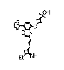 CCC1CC(C/C=C/C2=Nc3c(OC4CC(C(C)(C)O)C4)ccc(-c4nccs4)c3OC2)C1=N